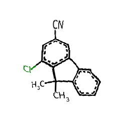 CC1(C)c2ccccc2-c2cc(C#N)cc(Cl)c21